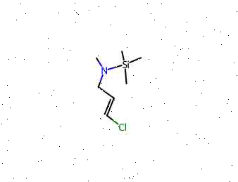 CN(CC=CCl)[Si](C)(C)C